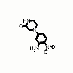 Nc1cc(N2CCNC(=O)C2)ccc1[N+](=O)[O-]